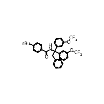 CCCCc1ccc(C(=O)NC(Cc2ccccc2)(c2cccc(OC(F)(F)F)c2)c2cccc(OC(F)(F)F)c2)cc1